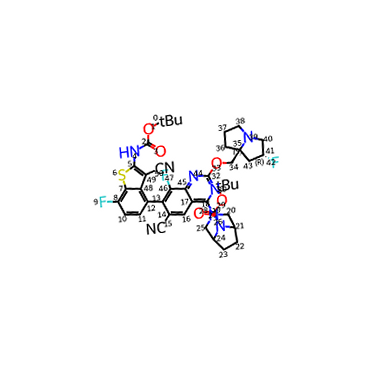 CC(C)(C)OC(=O)Nc1sc2c(F)ccc(-c3c(C#N)cc4c(N5CC6CCC(C5)N6C(=O)OC(C)(C)C)nc(OC[C@@]56CCCN5C[C@H](F)C6)nc4c3F)c2c1C#N